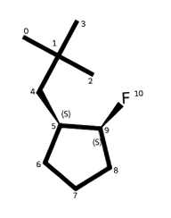 CC(C)(C)C[C@@H]1CCC[C@@H]1F